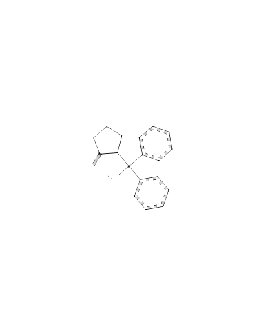 N#CC(c1ccccc1)(c1ccccc1)C1CCCC1=O